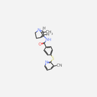 C[C@H]1[C@H](NC(=O)c2ccc(Sc3ncccc3C#N)cc2)C2CCN1CC2